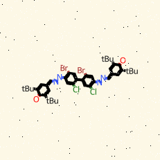 CC(C)(C)C1=CC(=C/N=N/c2cc(Br)c(-c3cc(Br)c(/N=N/C=C4C=C(C(C)(C)C)C(=O)C(C(C)(C)C)=C4)cc3Cl)cc2Cl)C=C(C(C)(C)C)C1=O